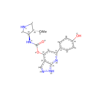 CO[C@H]1CNC[C@@H]1NC(=O)Oc1cc(-c2ccc(O)cc2)nc2[nH]ncc12